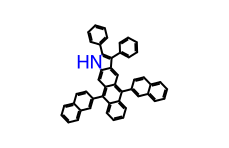 c1ccc(-c2[nH]c3cc4c(-c5ccc6ccccc6c5)c5ccccc5c(-c5ccc6ccccc6c5)c4cc3c2-c2ccccc2)cc1